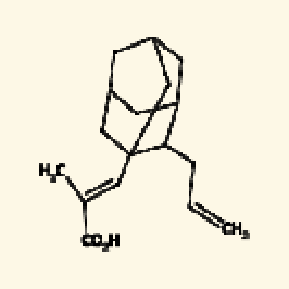 C=CCC1C2CC3CC(C2)CC1(C=C(C)C(=O)O)C3